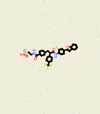 O=C(NCCS(=O)(=O)O)c1ccc(CC(C(=O)Nc2ccc(-c3cc4ccccc4o3)cc2F)c2ccc(C(F)(F)F)cc2)cc1